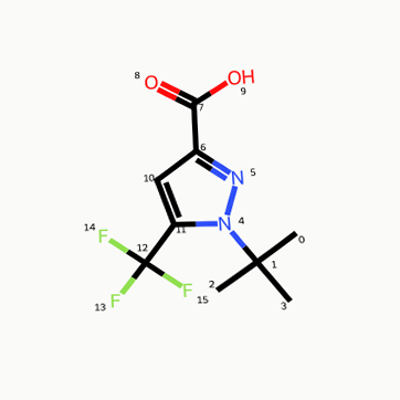 CC(C)(C)n1nc(C(=O)O)cc1C(F)(F)F